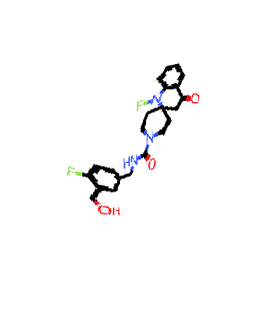 O=C1CC2(CCN(C(=O)NCc3ccc(F)c(CO)c3)CC2)N(F)c2ccccc21